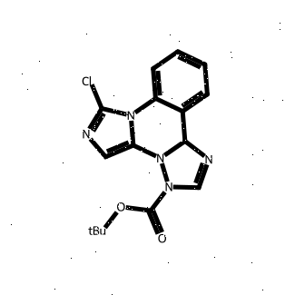 CC(C)(C)OC(=O)N1C=NC2c3ccccc3-n3c(cnc3Cl)N21